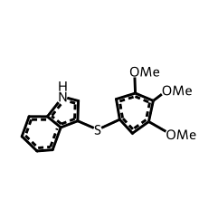 COc1cc(Sc2c[nH]c3ccccc23)cc(OC)c1OC